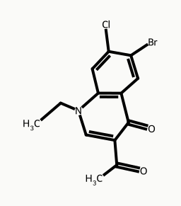 CCn1cc(C(C)=O)c(=O)c2cc(Br)c(Cl)cc21